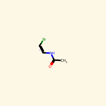 CC(=O)N/C=C\Br